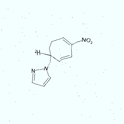 [2H]C1(n2cccn2)C=CC([N+](=O)[O-])=CC1